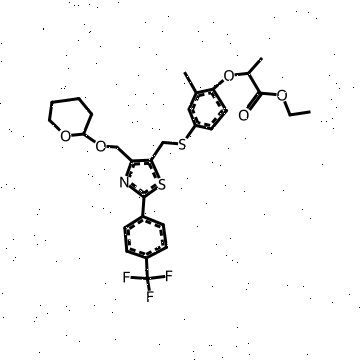 CCOC(=O)C(C)Oc1ccc(SCc2sc(-c3ccc(C(F)(F)F)cc3)nc2COC2CCCCO2)cc1C